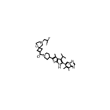 Cc1c(-c2[nH]c3sc(C4CCN(C(=O)C5CC6(C5)CN(CC(F)F)CCO6)CC4)c(C)c3c2C(C)C)cn2ncnc2c1C